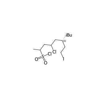 CCC(C)[C@H](CCI)CC(Cl)CC(C)S(=O)(=O)Cl